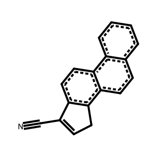 N#CC1=CCc2c1ccc1c2ccc2ccccc21